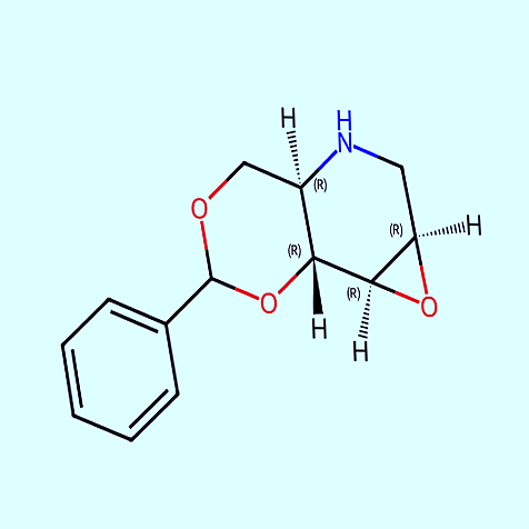 c1ccc(C2OC[C@H]3NC[C@H]4O[C@H]4[C@@H]3O2)cc1